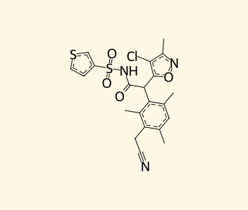 Cc1cc(C)c(C(C(=O)NS(=O)(=O)c2ccsc2)c2onc(C)c2Cl)c(C)c1CC#N